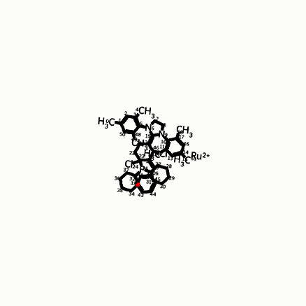 Cc1cc(C)c(N2CCN(c3c(C)cc(C)cc3C)C2=C2CCC(Cl)(P(C3CCCCC3)C3CCCCC3)C(=Cc3ccccc3)C2Cl)c(C)c1.[Ru+2]